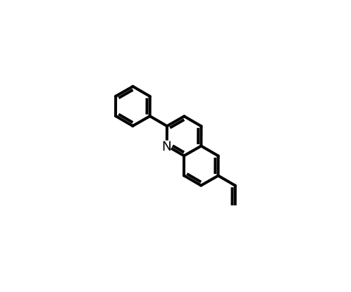 C=Cc1ccc2nc(-c3ccccc3)ccc2c1